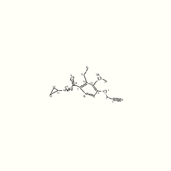 C#CCOc1ccc(C(=O)NC2CC2)c(CC)c1OC